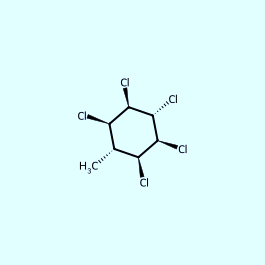 C[C@@H]1[C@@H](Cl)[C@@H](Cl)[C@H](Cl)[C@@H](Cl)[C@H]1Cl